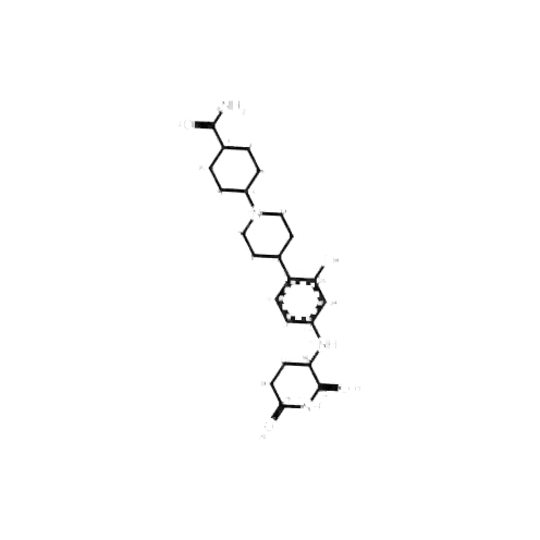 NC(=O)C1CCC(N2CCC(c3ccc(NC4CCC(=O)NC4=O)cc3F)CC2)CC1